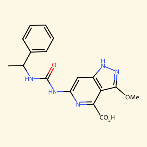 COc1n[nH]c2cc(NC(=O)NC(C)c3ccccc3)nc(C(=O)O)c12